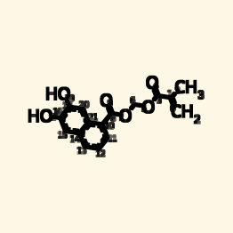 C=C(C)C(=O)OCOC(=O)c1cccc2cc(O)c(O)cc12